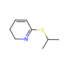 CC(C)SC1=NCCC=C1